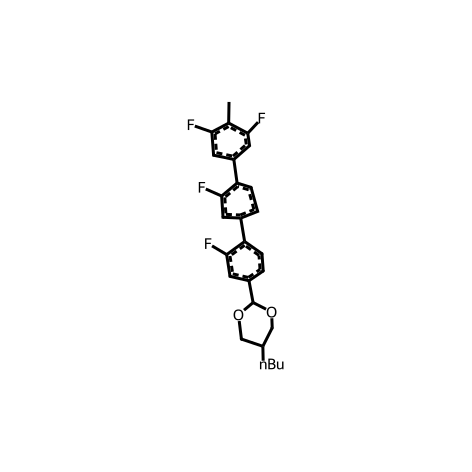 CCCCC1COC(c2ccc(-c3ccc(-c4cc(F)c(C)c(F)c4)c(F)c3)c(F)c2)OC1